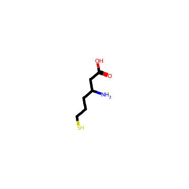 NC(CCCS)CC(=O)O